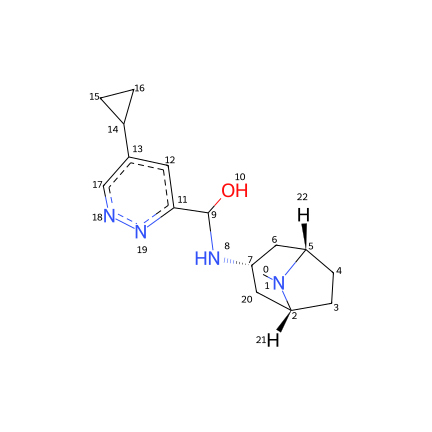 CN1[C@@H]2CC[C@H]1C[C@@H](NC(O)c1cc(C3CC3)cnn1)C2